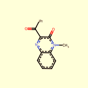 CC(C)C(=O)c1nc2ccccc2n(C)c1=O